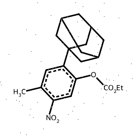 CCOC(=O)Oc1cc([N+](=O)[O-])c(C)cc1C12CC3CC(CC(C3)C1)C2